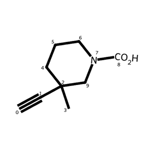 C#CC1(C)CCCN(C(=O)O)C1